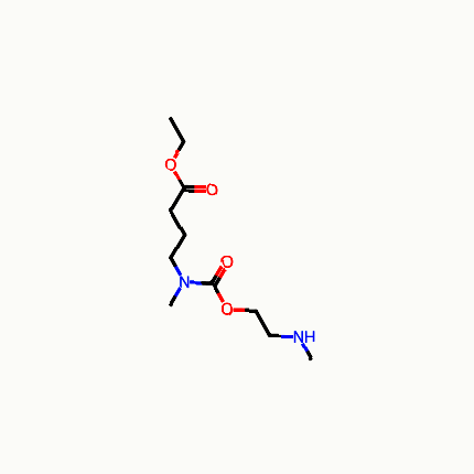 CCOC(=O)CCCN(C)C(=O)OCCNC